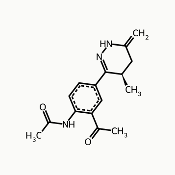 C=C1C[C@@H](C)C(c2ccc(NC(C)=O)c(C(C)=O)c2)=NN1